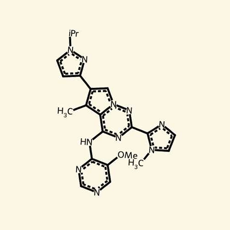 COc1cncnc1Nc1nc(-c2nccn2C)nn2cc(-c3ccn(C(C)C)n3)c(C)c12